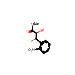 COC(=O)[C@@H](O)[C@H](O)c1ccccc1[N+](=O)[O-]